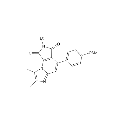 CCN1C(=O)c2c(-c3ccc(OC)cc3)cc3nc(C)c(C)n3c2C1=O